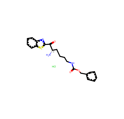 Cl.N[C@@H](CCCCNC(=O)OCc1ccccc1)C(=O)c1nc2ccccc2s1